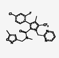 Cc1cc(CN(C)C(=O)c2c(-c3ccc(Cl)cc3F)c(C)c(C(F)(F)F)n2Cc2ncccn2)no1